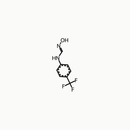 ON=CNc1ccc(C(F)(F)F)cc1